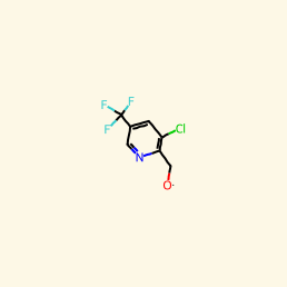 [O]Cc1ncc(C(F)(F)F)cc1Cl